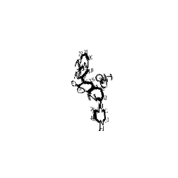 O=c1oc2nc(N3CCNCC3)ccc2cc1-c1cn2cccnc2n1.OCl